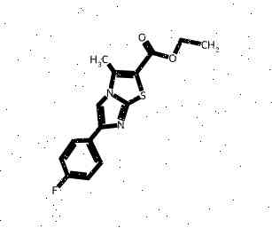 CCOC(=O)c1sc2nc(-c3ccc(F)cc3)cn2c1C